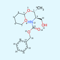 C[C@@H](OC1CCCCO1)[C@@H](CO)NC(=O)OCc1ccccc1